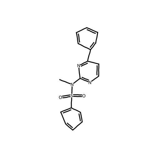 CN(c1nccc(-c2ccccc2)n1)S(=O)(=O)c1ccccc1